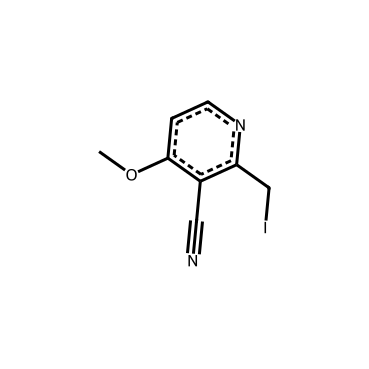 COc1ccnc(CI)c1C#N